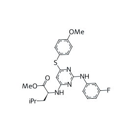 COC(=O)[C@H](CC(C)C)Nc1cc(Sc2ccc(OC)cc2)nc(Nc2cccc(F)c2)n1